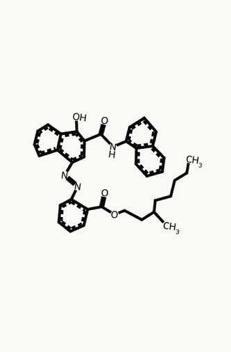 CCCCCC(C)CCOC(=O)c1ccccc1N=Nc1cc(C(=O)Nc2cccc3ccccc23)c(O)c2ccccc12